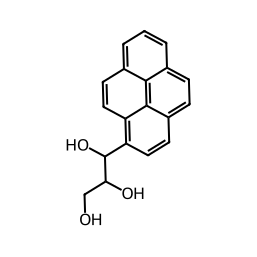 OCC(O)C(O)c1ccc2ccc3cccc4ccc1c2c34